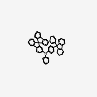 C1=CC(C2(c3ccc(N(c4ccccc4)c4ccc5c(c4)C4(c6ccccc6-c6ccccc64)c4ccccc4-5)cc3)C3=C(C=CCC3)c3ccccc32)=CCC1